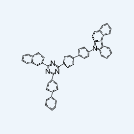 c1ccc(-c2ccc(-c3nc(-c4ccc(-c5ccc(-n6c7ccccc7c7c8ccccc8ccc76)cc5)cc4)nc(-c4ccc5ccccc5c4)n3)cc2)cc1